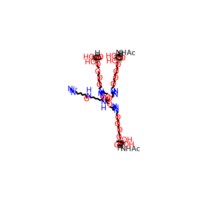 CC(=O)N[C@H]1[C@H]2OC[C@](COCCOCCOCCOCCn3cc(COCC(COCc4cn(CCOCCOCCOCCOC[C@@]56CO[C@@H](O5)[C@H](NC(C)=O)[C@@H](O)[C@H]6O)nn4)(COCc4cn(CCOCCOCCOCCOC[C@]56CO[C@H](C[C@@H](O)[C@H]5O)O6)nn4)NC(=O)CCCCCNC(=O)CCCCCN=[N+]=[N-])nn3)(O2)[C@H](O)[C@@H]1O